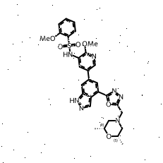 COc1ccccc1S(=O)(=O)Nc1cc(-c2cc(-c3nnc(CN4C[C@@H](C)O[C@@H](C)C4)o3)c3cn[nH]c3c2)cnc1OC